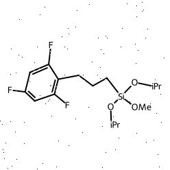 CO[Si](CCCc1c(F)cc(F)cc1F)(OC(C)C)OC(C)C